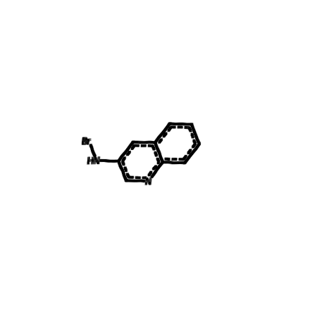 BrNc1cnc2ccccc2c1